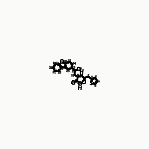 O=C(Cc1cccs1)NC(CC(=O)c1ccc2oc3ccccc3c2c1)C(=O)O